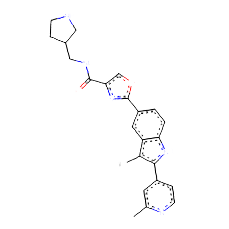 Cc1cc(-c2[nH]c3ccc(-c4nc(C(=O)NCC5CCNC5)co4)cc3c2C(C)C)ccn1